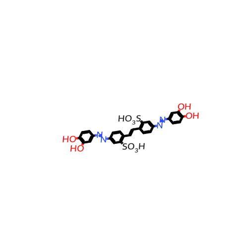 O=S(=O)(O)c1cc(/N=N/c2ccc(O)c(O)c2)ccc1/C=C/c1ccc(/N=N/c2ccc(O)c(O)c2)cc1S(=O)(=O)O